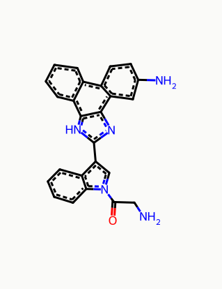 NCC(=O)n1cc(-c2nc3c4cc(N)ccc4c4ccccc4c3[nH]2)c2ccccc21